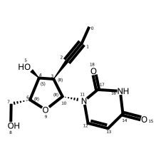 CC#C[C@@H]1[C@H](O)[C@@H](CO)O[C@H]1n1ccc(=O)[nH]c1=O